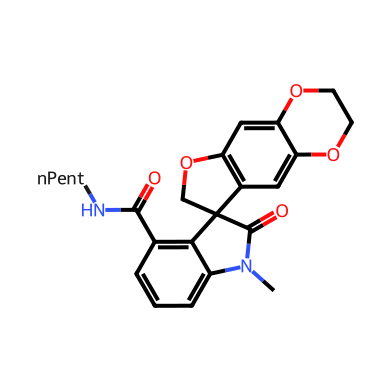 CCCCCNC(=O)c1cccc2c1C1(COc3cc4c(cc31)OCCO4)C(=O)N2C